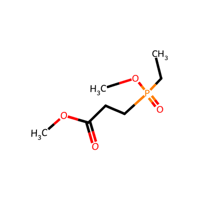 CCP(=O)(CCC(=O)OC)OC